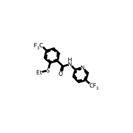 CCSc1cc(C(F)(F)F)ccc1C(=O)Nc1ccc(C(F)(F)F)cn1